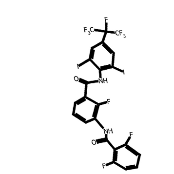 O=C(Nc1c(I)cc(C(F)(C(F)(F)F)C(F)(F)F)cc1I)c1cccc(NC(=O)c2c(F)cccc2F)c1F